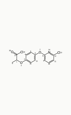 CC(Oc1ccc(Oc2cccc(Cl)n2)cc1)C(=O)Cl